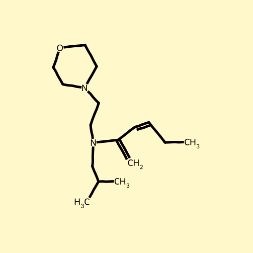 C=C(/C=C\CC)N(CCN1CCOCC1)CC(C)C